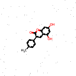 Cc1ccc(-c2cc3c(O)cc(O)cc3oc2=O)cc1